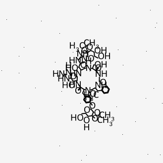 CC(c1ccccc1)C1NC(=O)CNC(=O)C(CO)NC(=O)C(C(O)C2CN(C3OC(CO)C(O)C4OC(C)(C)OC43)C(=N)N2)NC(=O)C(C(O)C2CNC(=N)N2)NC(=O)C(Cc2ccc(OC3OC(CO)C(O)C4OC(C)(C)OC34)cc2)NC1=O